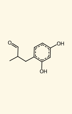 CC(C=O)Cc1ccc(O)cc1O